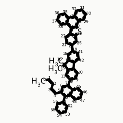 C/C=C\C=C/c1cc(-c2ccc3c(c2)C(C)(C)c2cc(-c4ccc5c(c4)sc4c6ccccc6c6ccccc6c54)ccc2-3)c2ccccc2c1-c1ccccc1